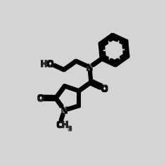 CN1CC(C(=O)N(CCO)c2ccccc2)CC1=O